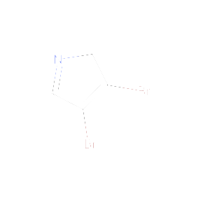 BrC1=C(Br)CN=C1